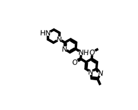 COc1cc2nc(C)cn2cc1C(=O)Nc1ccc(N2CCNCC2)nc1